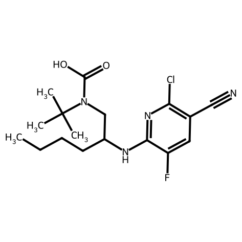 CCCCC(CN(C(=O)O)C(C)(C)C)Nc1nc(Cl)c(C#N)cc1F